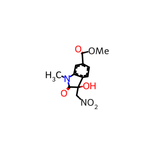 COC(=O)c1ccc2c(c1)N(C)C(=O)C2(O)C[N+](=O)[O-]